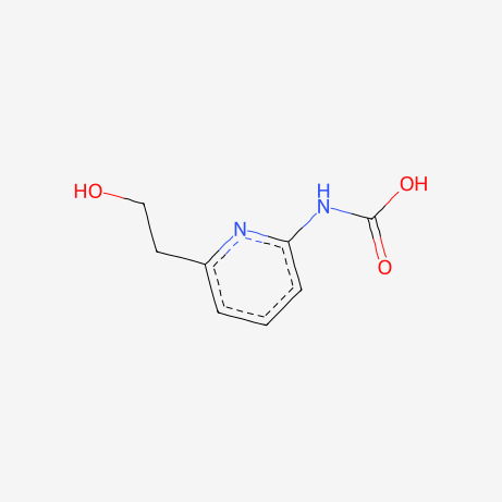 O=C(O)Nc1cccc(CCO)n1